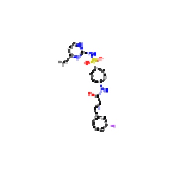 Cc1ccnc(NS(=O)(=O)c2ccc(NC(=O)/C=C/c3cccc(I)c3)cc2)n1